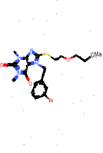 COCCOCCSc1nc2c(c(=O)n(C)c(=O)n2C)n1Cc1cccc(Br)c1